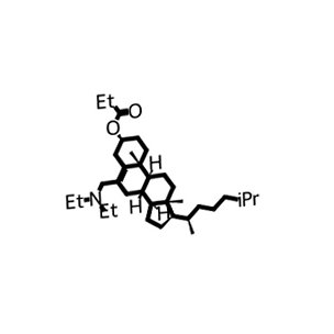 CCC(=O)O[C@H]1CC[C@@]2(C)C(=C(CN(CC)CC)C[C@H]3[C@@H]4CC[C@H]([C@H](C)CCCC(C)C)[C@@]4(C)CC[C@@H]32)C1